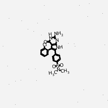 CN(C)S(=O)(=O)c1ccc(-c2[nH]c3nc(N)[nH]c(=O)c3c2-c2ccccc2Cl)cc1